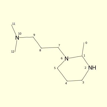 CC1NCCCN1CCCN(C)C